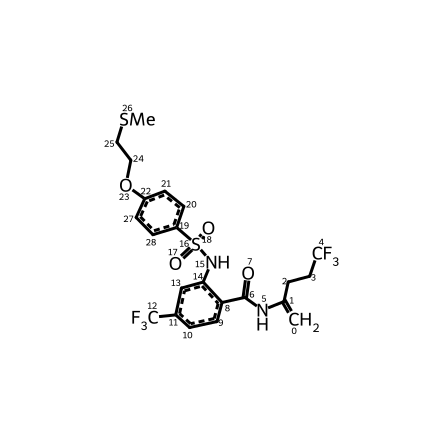 C=C(CCC(F)(F)F)NC(=O)c1ccc(C(F)(F)F)cc1NS(=O)(=O)c1ccc(OCCSC)cc1